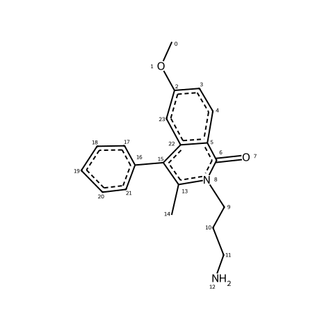 COc1ccc2c(=O)n(CCCN)c(C)c(-c3ccccc3)c2c1